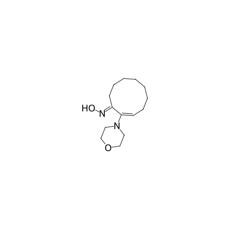 O/N=C1CCCCCCC/C=C\1N1CCOCC1